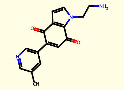 N#Cc1cncc(C2=CC(=O)c3c(ccn3CCN)C2=O)c1